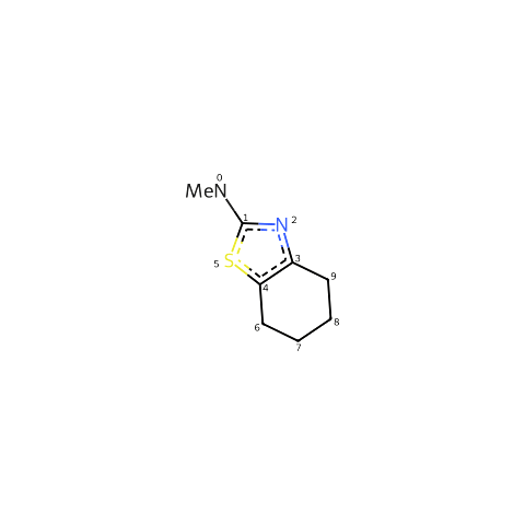 CNc1nc2c(s1)CCCC2